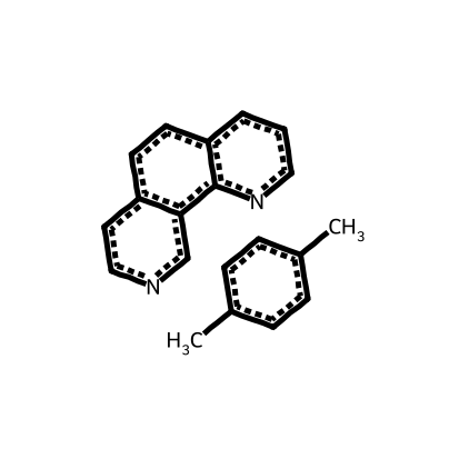 Cc1ccc(C)cc1.c1cnc2c(c1)ccc1ccncc12